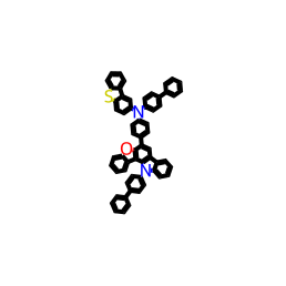 c1ccc(-c2ccc(N(c3ccc(-c4cc5c6ccccc6n(-c6ccc(-c7ccccc7)cc6)c5c5c4oc4ccccc45)cc3)c3ccc4sc5ccccc5c4c3)cc2)cc1